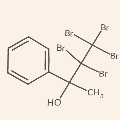 CC(O)(c1ccccc1)C(Br)(Br)C(Br)(Br)Br